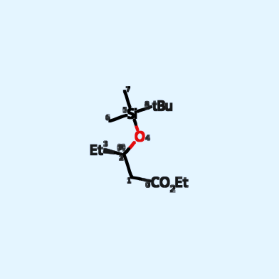 CCOC(=O)C[C@@H](CC)O[Si](C)(C)C(C)(C)C